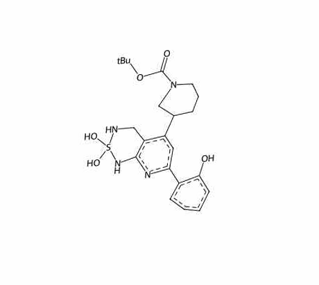 CC(C)(C)OC(=O)N1CCCC(c2cc(-c3ccccc3O)nc3c2CNS(O)(O)N3)C1